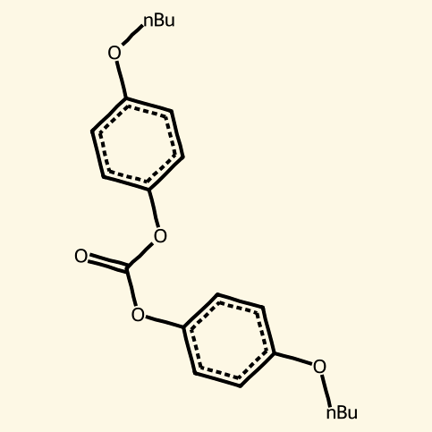 CCCCOc1ccc(OC(=O)Oc2ccc(OCCCC)cc2)cc1